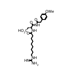 COc1ccc(CC(=O)NC(=O)[C@H](CC(=O)O)NC(=O)CCCCCCCCNC(=N)N)cc1